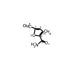 C.NC(=O)c1ccc(C=O)o1